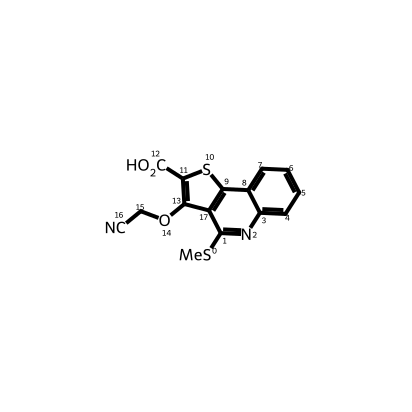 CSc1nc2ccccc2c2sc(C(=O)O)c(OCC#N)c12